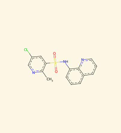 Cc1ncc(Cl)cc1S(=O)(=O)Nc1cccc2cccnc12